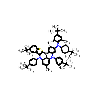 CC1=CC2C3B(c4ccc(N(C5=C(C)C=C(C(C)(C)C)CC5C)C5CCC(C(C)(C)C)CC5)cc4N(c4ccc(C(C)(C)C)cc4)C3=C1)c1sc3ccc(C(C)(C)C)cc3c1N2C1C=CC(C(C)(C)C)=CC1